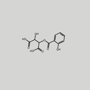 O=C(OC(C(=O)O)C(O)C(=O)O)c1ccccc1O